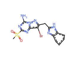 CS(=O)(=O)c1nc(N)n2nc(Cc3nc4ccccc4[nH]3)c(Br)c2n1